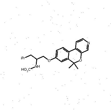 CC(C)CC(COc1ccc2c(c1)C(C)(C)Oc1cnccc1-2)NC(=O)O